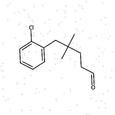 CC(C)(CCC=O)Cc1ccccc1Cl